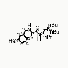 CCCCN(CCCC)C[C@@H](NC(=O)[C@H]1Cc2ccc(O)cc2CN1)C(C)C